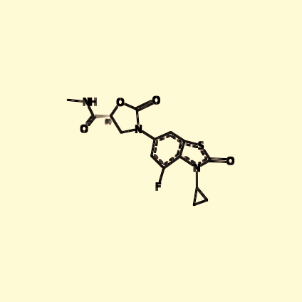 CNC(=O)[C@H]1CN(c2cc(F)c3c(c2)sc(=O)n3C2CC2)C(=O)O1